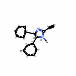 C#Cc1nc(-c2ccccc2)c(-c2ccccc2)n1C